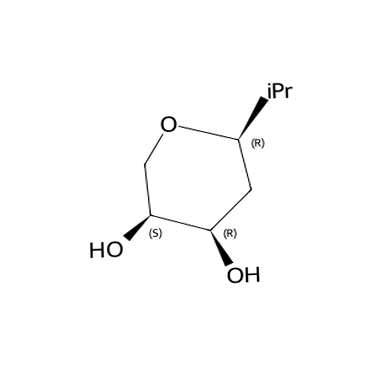 CC(C)[C@H]1C[C@@H](O)[C@@H](O)CO1